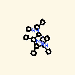 C/C=C(\C=C/CCC)n1c2c(-c3cccc(-c4cc(-c5ccccc5)ccc4Nc4ccccc4)c3)cc(-c3ccccc3)cc2c2cc(-c3ccccc3)cc(-c3cc(-c4ccccc4)nc(-c4ccccc4)n3)c21